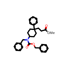 COC(=O)CCC1(c2ccccc2)CCC(N(Cc2ccccc2)C(=O)OCc2ccccc2)CC1